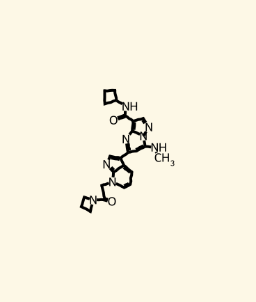 CNc1cc(-c2cnc3n(CC(=O)N4CCC4)cccc2-3)nc2c(C(=O)NC3CCC3)cnn12